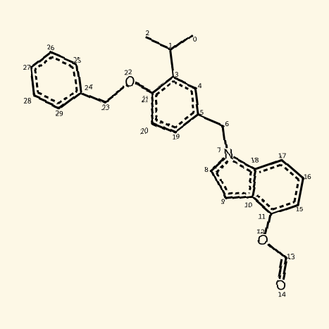 CC(C)c1cc(Cn2ccc3c(OC=O)cccc32)ccc1OCc1ccccc1